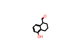 O=CC1CCCc2c(O)cccc21